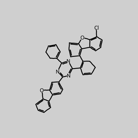 Clc1cccc2c1oc1cccc(C3=C(c4nc(C5=CC=CCC5)nc(-c5ccc6c(c5)oc5ccccc56)n4)C=CCC3)c12